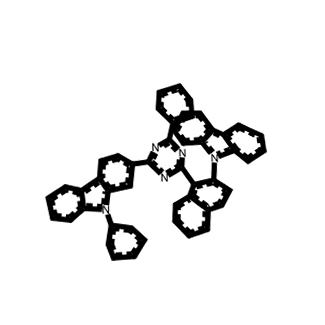 c1ccc(-c2nc(-c3ccc4c5ccccc5n(-c5ccccc5)c4c3)nc(-c3c(-n4c5ccccc5c5ccccc54)ccc4ccccc34)n2)cc1